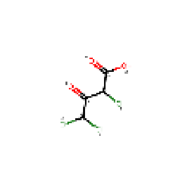 O=C(O)C(Cl)C(=O)C(Cl)Cl